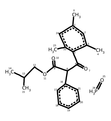 Cc1cc(C)c(C(=O)C(C(=O)OCC(C)C)c2ccccc2)c(C)c1.O=[PH3]